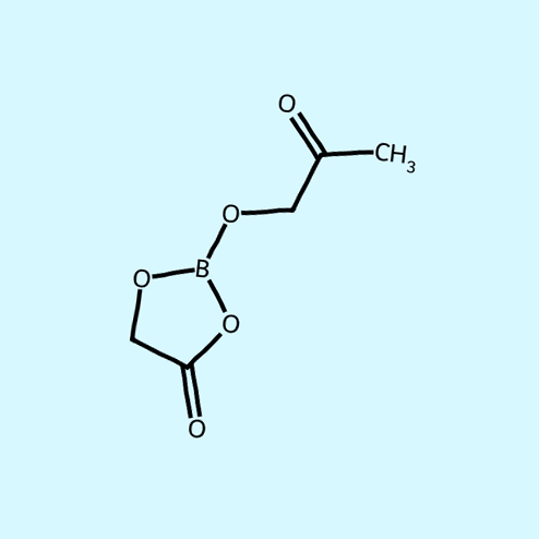 CC(=O)COB1OCC(=O)O1